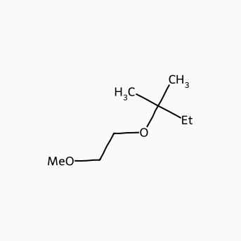 [CH2]CC(C)(C)OCCOC